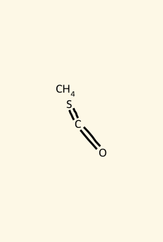 C.O=C=S